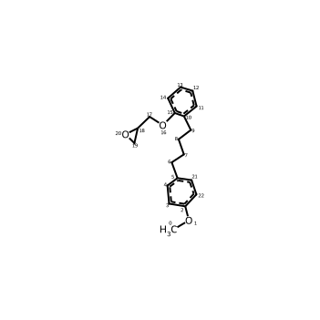 COc1ccc(CCCCc2ccccc2OCC2CO2)cc1